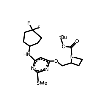 CSc1nc(NC2CCC(F)(F)CC2)cc(OCC2CCN2C(=O)OC(C)(C)C)n1